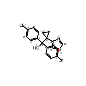 OC(c1ccc(F)cc1)(c1ccc(Cl)cc1)C1(n2cncn2)CC1